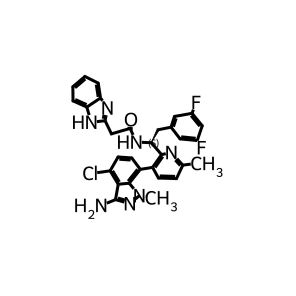 Cc1ccc(-c2ccc(Cl)c3c(N)nn(C)c23)c([C@H](Cc2cc(F)cc(F)c2)NC(=O)Cc2nc3ccccc3[nH]2)n1